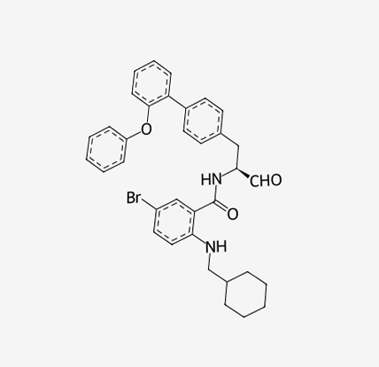 O=C[C@H](Cc1ccc(-c2ccccc2Oc2ccccc2)cc1)NC(=O)c1cc(Br)ccc1NCC1CCCCC1